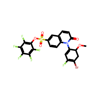 COC1CC(Br)=C(F)C=C1n1c(=O)ccc2cc(S(=O)(=O)Oc3c(F)c(F)c(F)c(F)c3F)ccc21